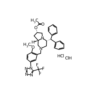 COc1ccc(-n2nnnc2C(F)(F)F)cc1CN1C[C@@H]2C[C@H](OC(C)=O)CN2[C@H](C(c2ccccc2)c2ccccc2)C1.Cl.Cl